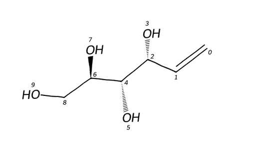 C=C[C@@H](O)[C@H](O)[C@H](O)CO